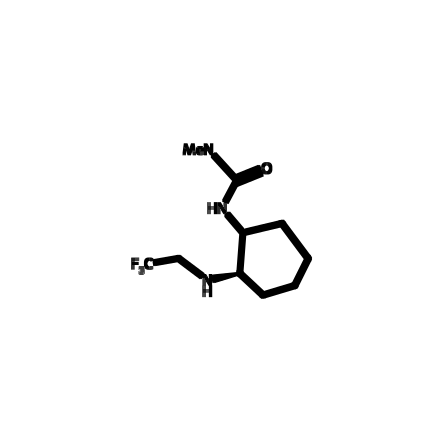 CNC(=O)NC1CCCC[C@H]1NCC(F)(F)F